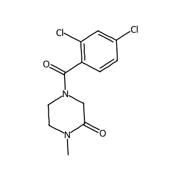 CN1CCN(C(=O)c2ccc(Cl)cc2Cl)CC1=O